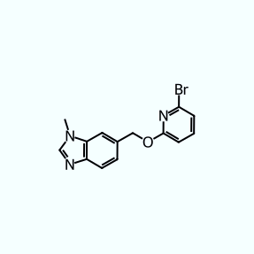 Cn1cnc2ccc(COc3cccc(Br)n3)cc21